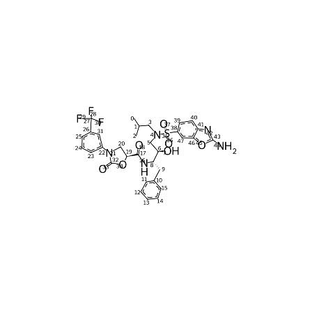 CC(C)CN(C[C@@H](O)[C@H](Cc1ccccc1)NC(=O)[C@@H]1CN(c2cccc(C(F)(F)F)c2)C(=O)O1)S(=O)(=O)c1ccc2nc(N)oc2c1